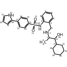 CC(NCc1ccccc1NS(=O)(=O)c1ccc(-c2ccc[nH]2)cc1)[C@@H](O)C1CCCCC1